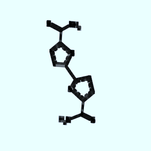 NC(=S)c1ccc(-c2ccc(C(N)=S)s2)s1